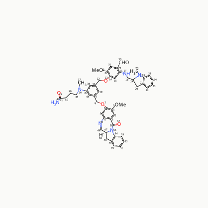 COc1cc2c(cc1OCc1cc(COc3cc(NCC4Cc5ccccc5N4C)c(C=O)cc3OC)cc(N(C)CCCC(N)=O)c1)N=C[C@@H]1Cc3ccccc3N1C2=O